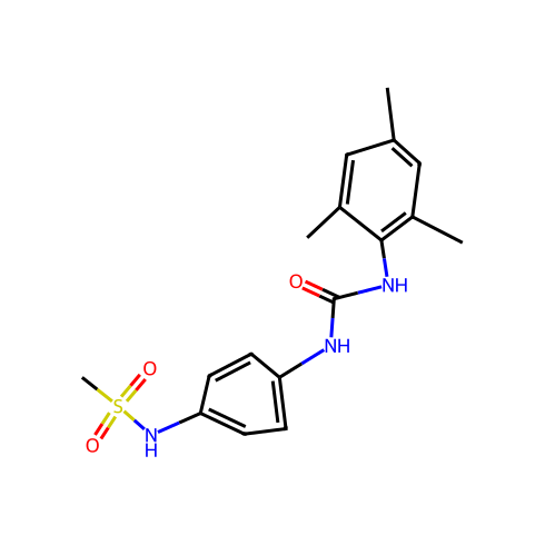 Cc1cc(C)c(NC(=O)Nc2ccc(NS(C)(=O)=O)cc2)c(C)c1